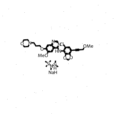 CN([SiH](C)C)[Si](C)(C)C.COCC#Cc1cc(Cl)c(Nc2ncnc3cc(OCCCN4CCOCC4)c(OC)cc23)c2c1OCO2.[NaH]